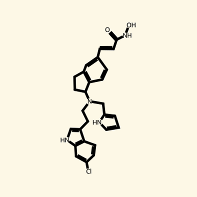 O=C(C=Cc1ccc2c(c1)CCC2N(CCc1c[nH]c2cc(Cl)ccc12)Cc1ccc[nH]1)NO